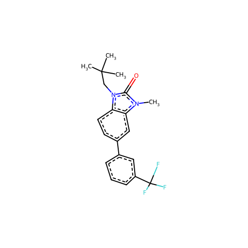 Cn1c(=O)n(CC(C)(C)C)c2ccc(-c3cccc(C(F)(F)F)c3)cc21